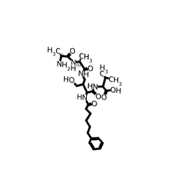 CC(C)C(NC(=O)C(NC(=O)CCCCCc1ccccc1)C(CO)CNC(=O)[C@H](C)NC(=O)[C@H](C)N)C(=O)O